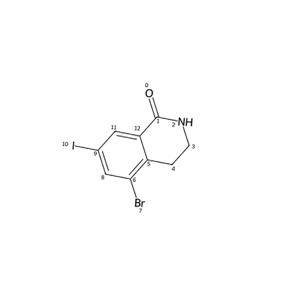 O=C1NCCc2c(Br)cc(I)cc21